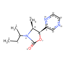 CCC(C)N1C(=O)O[C@H](c2cnccn2)[C@@H]1C